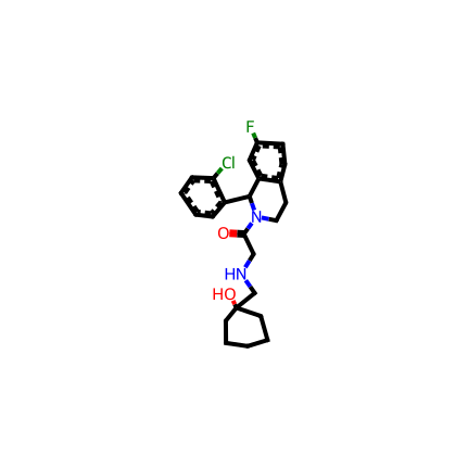 O=C(CNCC1(O)CCCCC1)N1CCc2ccc(F)cc2C1c1ccccc1Cl